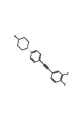 C[C@H]1CC[C@H](c2ccc(C#Cc3ccc(F)c(F)c3)cc2)CC1